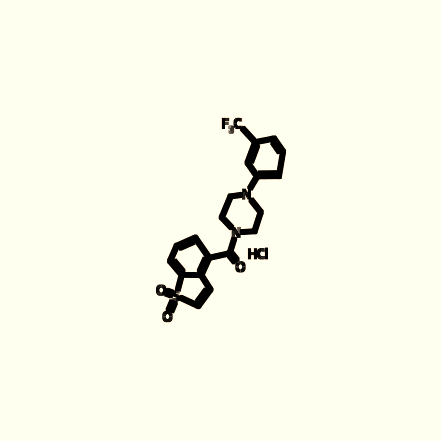 Cl.O=C(c1cccc2c1C=CS2(=O)=O)N1CCN(c2cccc(C(F)(F)F)c2)CC1